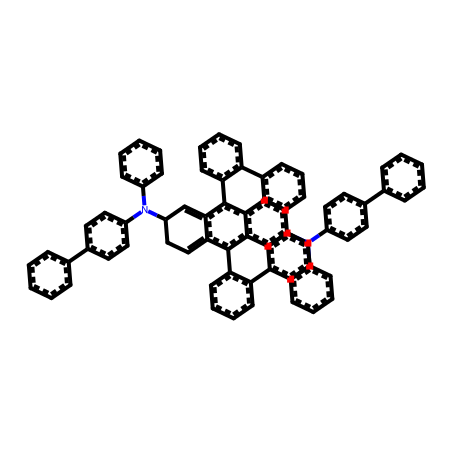 C1=c2c(-c3ccccc3-c3ccccc3)c3ccc(N(c4ccccc4)c4ccc(-c5ccccc5)cc4)cc3c(-c3ccccc3-c3ccccc3)c2=CCC1N(c1ccccc1)c1ccc(-c2ccccc2)cc1